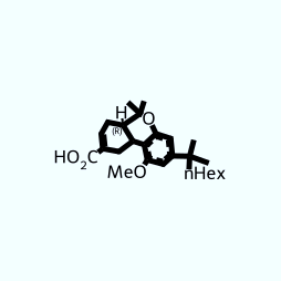 CCCCCCC(C)(C)c1cc(OC)c2c(c1)OC(C)(C)[C@@H]1CC=C(C(=O)O)CC21